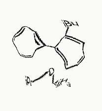 CC(C)O[SiH3].CCC(C)c1ccccc1-c1ccccc1